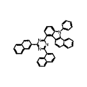 c1ccc(-n2c3cccc(-c4nc(-c5ccc6ccccc6c5)nc(-c5cccc6ccccc56)n4)c3c3ccc4ccccc4c32)cc1